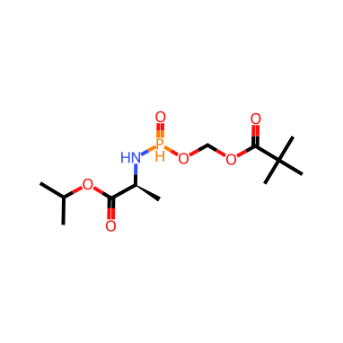 CC(C)OC(=O)[C@H](C)N[PH](=O)OCOC(=O)C(C)(C)C